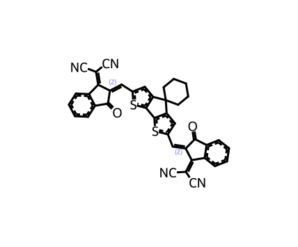 N#CC(C#N)=C1/C(=C/c2cc3c(s2)-c2sc(/C=C4\C(=O)c5ccccc5C4=C(C#N)C#N)cc2C32CCCCC2)C(=O)c2ccccc21